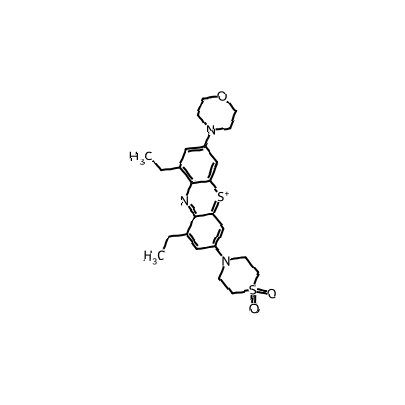 CCc1cc(N2CCOCC2)cc2[s+]c3cc(N4CCS(=O)(=O)CC4)cc(CC)c3nc12